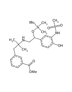 COC(=O)c1cccc(CC(C)(C)NCC(O[Si](C)(C)C(C)(C)C)c2ccc(O)c(NS(C)(=O)=O)c2)c1